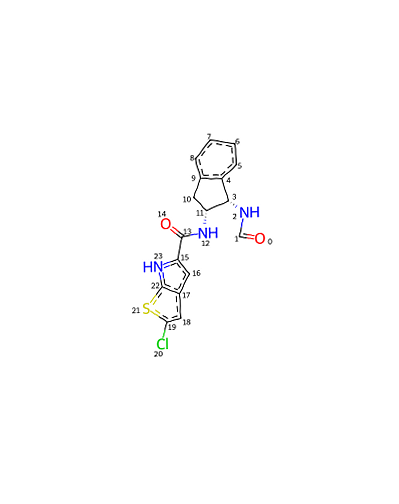 O=CN[C@H]1c2ccccc2C[C@H]1NC(=O)c1cc2cc(Cl)sc2[nH]1